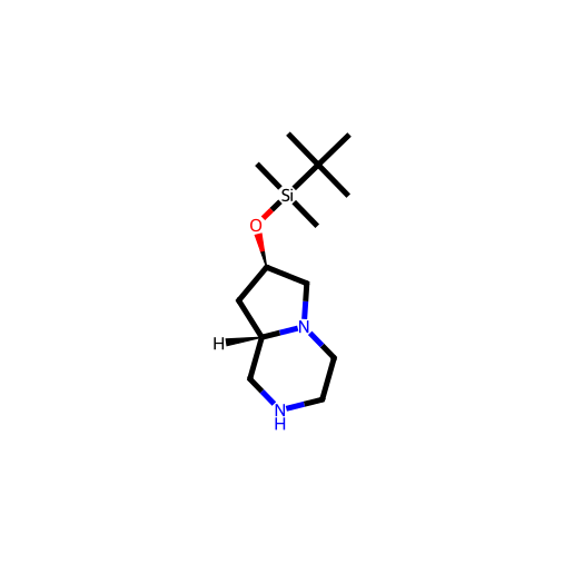 CC(C)(C)[Si](C)(C)O[C@@H]1C[C@H]2CNCCN2C1